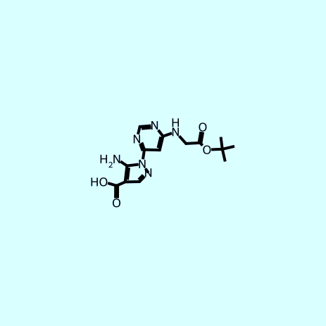 CC(C)(C)OC(=O)CNc1cc(-n2ncc(C(=O)O)c2N)ncn1